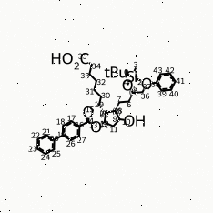 CC(C)(C)[Si](C)(C)O[C@H](CC[C@H]1C(O)C[C@H](OC(=O)c2ccc(-c3ccccc3)cc2)[C@@H]1CCCCCCC(=O)O)COc1ccccc1